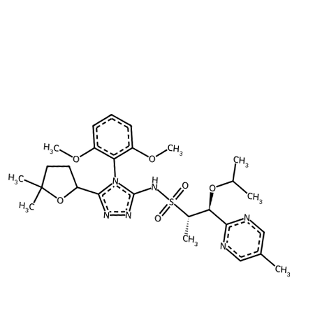 COc1cccc(OC)c1-n1c(NS(=O)(=O)[C@@H](C)[C@@H](OC(C)C)c2ncc(C)cn2)nnc1C1CCC(C)(C)O1